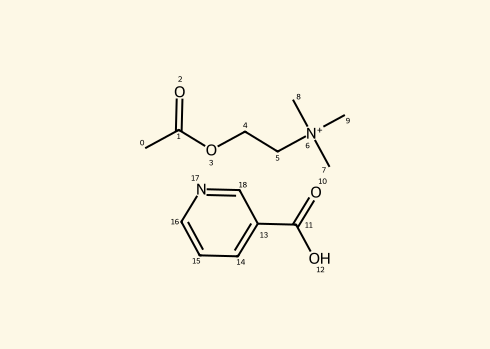 CC(=O)OCC[N+](C)(C)C.O=C(O)c1cccnc1